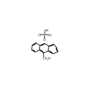 CCC[Si](Cl)(Cl)Cl.O=C(O)c1c2ccccc2cc2ccccc12